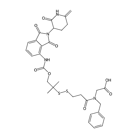 C=C1CCC(N2C(=O)c3cccc(NC(=O)OCC(C)(C)SSCCC(=O)N(CC(=O)O)Cc4ccccc4)c3C2=O)C(=O)N1